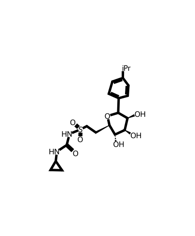 CC(C)c1ccc(C2O[C@H](CCS(=O)(=O)NC(=O)NC3CC3)[C@@H](O)[C@H](O)[C@@H]2O)cc1